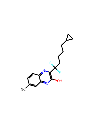 N#Cc1ccc2nc(C(F)(F)CCCCC3CC3)c(O)nc2c1